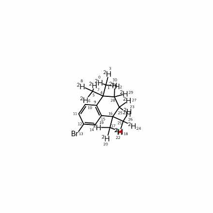 [2H]C([2H])([2H])C1(C([2H])([2H])[2H])c2ccc(Br)cc2C(C([2H])([2H])[2H])(C([2H])([2H])[2H])C([2H])([2H])C1([2H])[2H]